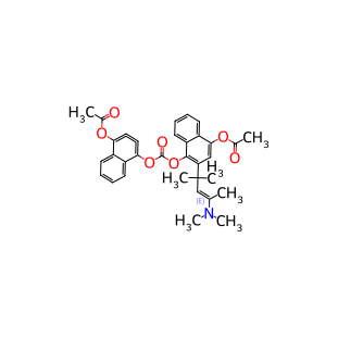 CC(=O)OC1=C=C=C(OC(=O)Oc2c(C(C)(C)/C=C(\C)N(C)C)cc(OC(C)=O)c3ccccc23)c2ccccc21